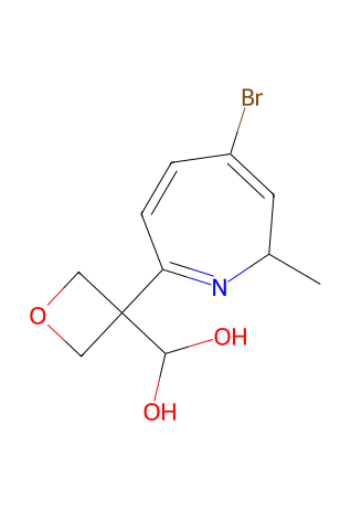 CC1C=C(Br)C=CC(C2(C(O)O)COC2)=N1